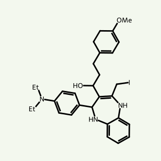 CCN(CC)c1ccc(C2Nc3ccccc3NC(CI)=C2C(O)CCC2=CC=C(OC)CC2)cc1